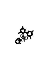 Cc1cc(C)c2op(OC3CC4CCC3(C)C4(C)C)oc3c(C)cc(C)cc3c2c1